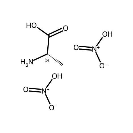 C[C@H](N)C(=O)O.O=[N+]([O-])O.O=[N+]([O-])O